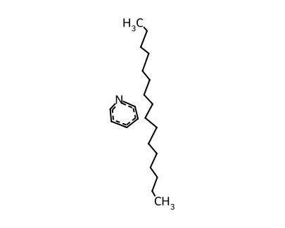 CCCCCCCCCCCCCCCC.c1ccncc1